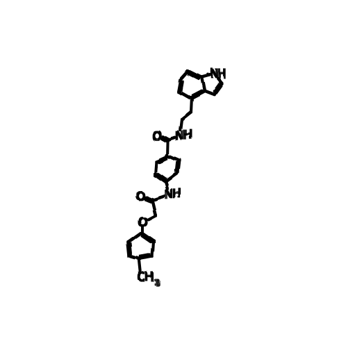 Cc1ccc(OCC(=O)Nc2ccc(C(=O)NCCc3cccc4[nH]ccc34)cc2)cc1